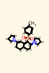 Cc1ccc(S(=O)(=O)C2=C3C=C(N4CCCC4)CCC3CCC2=[N+]2CCCC2)cc1